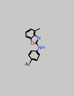 CC(=O)c1ccc(Nc2nc3c(C)cccc3o2)cc1